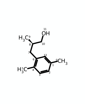 Cc1ccc(C)c(C[C@@H](C)CO)c1